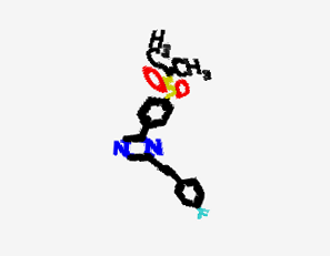 CC(C)S(=O)(=O)c1ccc(-c2cncc(C#Cc3ccc(F)cc3)n2)cc1